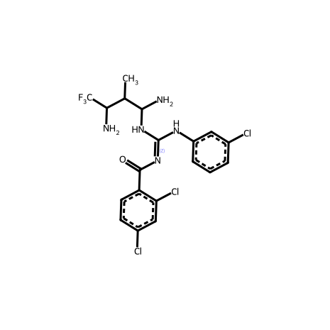 CC(C(N)N/C(=N\C(=O)c1ccc(Cl)cc1Cl)Nc1cccc(Cl)c1)C(N)C(F)(F)F